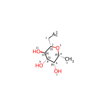 CC(=O)C[C@@H]1O[C@H](C)[C@H](O)[C@H](O)[C@H]1O